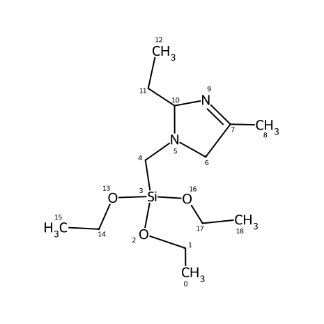 CCO[Si](CN1CC(C)=NC1CC)(OCC)OCC